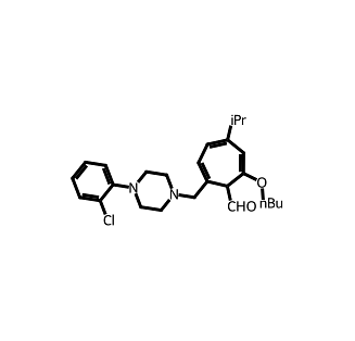 CCCCOC1=CC(C(C)C)=CC=C(CN2CCN(c3ccccc3Cl)CC2)C1C=O